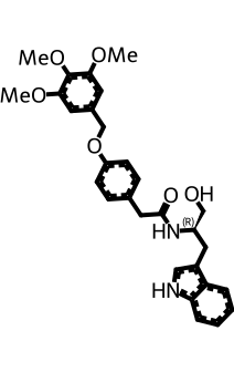 COc1cc(COc2ccc(CC(=O)N[C@@H](CO)Cc3c[nH]c4ccccc34)cc2)cc(OC)c1OC